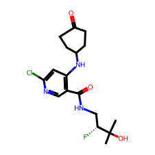 CC(C)(O)[C@H](F)CNC(=O)c1cnc(Cl)cc1NC1CCC(=O)CC1